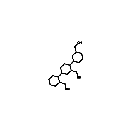 OCC1CCCC(C2CCC(C3CCCCC3CO)CC2CO)C1